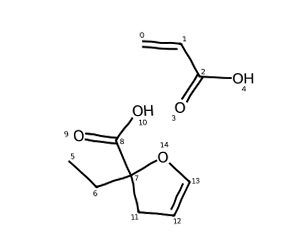 C=CC(=O)O.CCC1(C(=O)O)CC=CO1